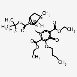 CCCCOc1c(C(=O)OCC)n(C[C@H]2[C@H]3CC(C[C@H]3C)N2C(=O)OC(C)(C)C)cc(C(=O)OCC)c1=O